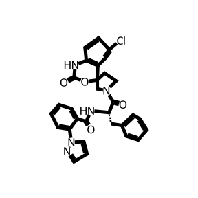 O=C1Nc2ccc(Cl)cc2C2(CCN(C(=O)[C@H](Cc3ccccc3)NC(=O)c3ccccc3-n3cccn3)C2)O1